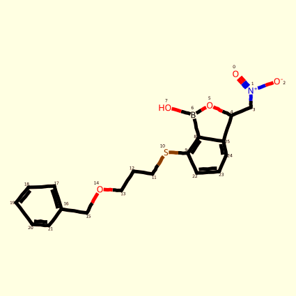 O=[N+]([O-])CC1OB(O)c2c(SCCCOCc3ccccc3)cccc21